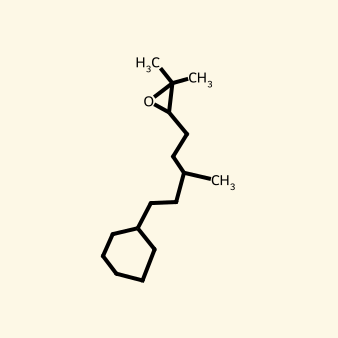 CC(CCC1CCCCC1)CCC1OC1(C)C